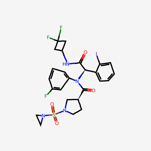 O=C(NC1CC(F)(F)C1)[C@@H](c1ccccc1I)N(C(=O)[C@H]1CCN(S(=O)(=O)N2CC2)C1)c1cccc(F)c1